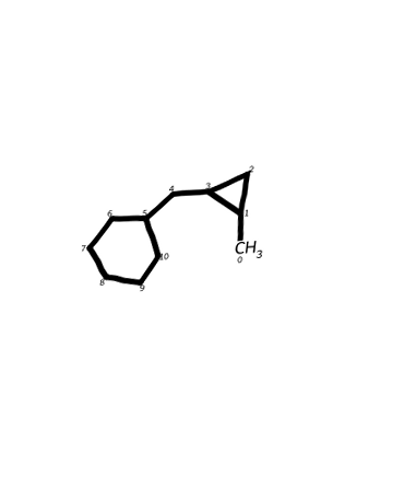 CC1CC1CC1CCCCC1